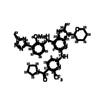 COc1c(Nc2cc(Nc3ccc(C(=O)N4CCCC4)c(C(F)(F)F)n3)nc3c2nc(C)n3C2CCCCO2)cccc1-c1nnn(C)n1